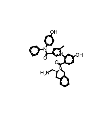 Cc1cc(C(=O)N(c2ccccc2)c2ccc(O)cc2)cn1-c1cc(O)ccc1C(=O)N1Cc2ccccc2C[C@H]1CN